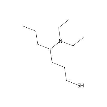 CCCC(CCCS)N(CC)CC